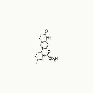 CC1CCC(c2ccc3c(c2)CCC(=O)N3)N(C(=O)C(=O)O)C1